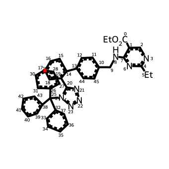 CCOC(=O)c1cnc(CC)nc1NCc1ccc(-c2ccccc2-c2nnnn2C(c2ccccc2)(c2ccccc2)c2ccccc2)cc1